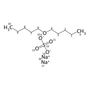 CCCCCOCCCCC.O=S(=O)([O-])[O-].[Na+].[Na+]